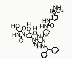 NS(=O)(=O)c1cccc(NC(=O)N[C@@H]2CCN(c3nc(NCC(c4ccccc4)c4ccccc4)c4ncn([C@@H]5C[C@H](N6C(=O)NC(CO)C6=O)[C@@H](O)[C@H]5O)c4n3)C2)c1